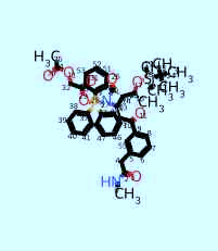 CNC(=O)Cc1cccc(C(=O)C[C@@H]2[C@@H]([C@@H](C)O[Si](C)(C)C(C)(C)C)C(=O)N2P(OC(=O)COC(C)=O)(c2ccccc2)(c2ccccc2)c2ccccc2)c1